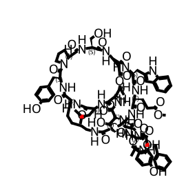 COC(=O)CC[C@@H]1NC(=O)[C@H](Cc2cc3ccccc3[nH]2)NC(=O)C2CC(=O)O[C@H](C)[C@H](NC(=O)[C@@H](NC(=O)CNC(=O)[C@H](Cc3ccccc3)NC(C)=O)[C@@H](C)O)C(=O)N[C@@H](CC(C)C)C(=O)N[C@@H](CCCCNC(=O)CC[C@H](C(=O)N[C@@H](Cc3ccc(O)cc3)C(=O)O)NC1=O)C(=O)N[C@@H](Cc1ccc(O)cc1)C(=O)N1CCC[C@H]1C(=O)N[C@@H](CO)C(=O)N2